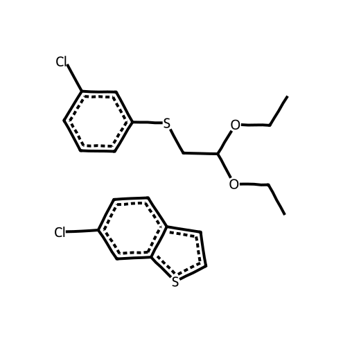 CCOC(CSc1cccc(Cl)c1)OCC.Clc1ccc2ccsc2c1